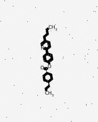 CCCCc1ccc(-c2ccc(OC(=O)[C@H]3CC[C@H](CCC)CC3)cc2)nc1